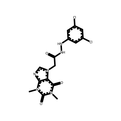 Cn1c(=O)c2c(ncn2CC(=O)NNc2cc(Cl)cc(Cl)c2)n(C)c1=O